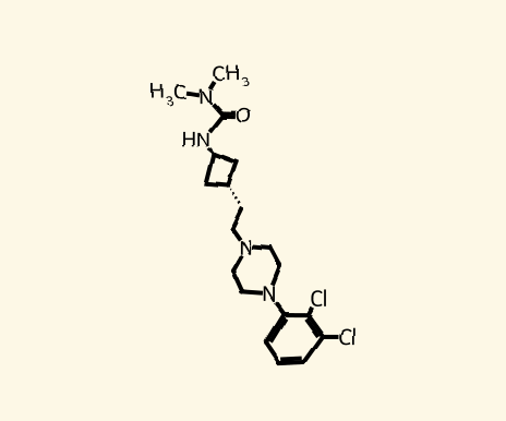 CN(C)C(=O)N[C@H]1C[C@H](CCN2CCN(c3cccc(Cl)c3Cl)CC2)C1